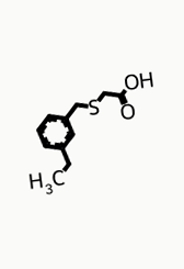 CCc1cccc(CSCC(=O)O)c1